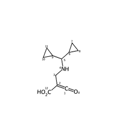 O=C=C(CNC(C1CC1)C1CC1)C(=O)O